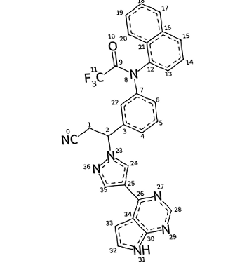 N#CCC(c1cccc(N(C(=O)C(F)(F)F)c2cccc3ccccc23)c1)n1cc(-c2ncnc3[nH]ccc23)cn1